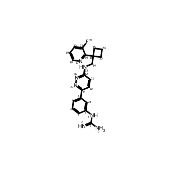 N=C(N)Nc1cccc(-c2ccc(NCC3(c4ncccc4F)CCC3)nn2)c1